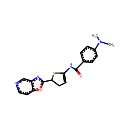 CN(C)c1ccc(C(=O)NC2=CCC(c3nc4cnccc4o3)S2)cc1